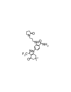 CC1(C)CC(=O)c2c(C(F)(F)F)nn(-c3ccc(C(N)=O)c(NCCCN4CCCC4=O)c3)c2C1